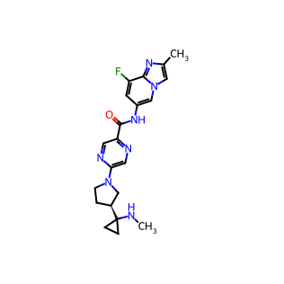 CNC1([C@H]2CCN(c3cnc(C(=O)Nc4cc(F)c5nc(C)cn5c4)cn3)C2)CC1